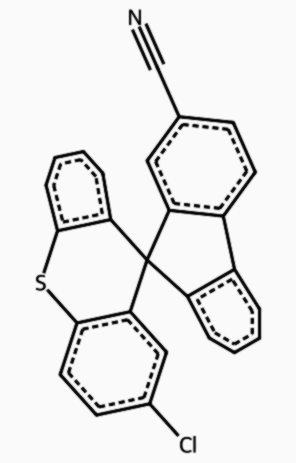 N#Cc1ccc2c(c1)C1(c3ccccc3Sc3ccc(Cl)cc31)c1ccccc1-2